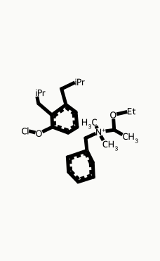 CC(C)Cc1cccc(OCl)c1CC(C)C.CCOC(C)[N+](C)(C)Cc1ccccc1